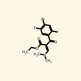 CCOC(=O)/C(=C\N(C)C)C(=O)c1cc(F)c(Br)cc1F